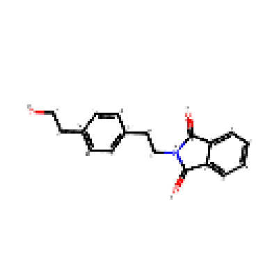 O=C1c2ccccc2C(=O)N1CCc1ccc(CCO)cc1